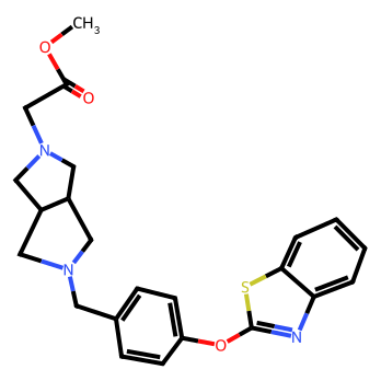 COC(=O)CN1CC2CN(Cc3ccc(Oc4nc5ccccc5s4)cc3)CC2C1